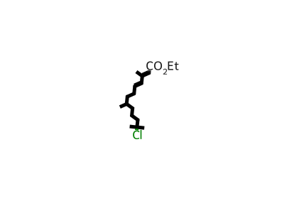 CCOC(=O)/C=C(C)/C=C/CCC(C)CCCC(C)(C)Cl